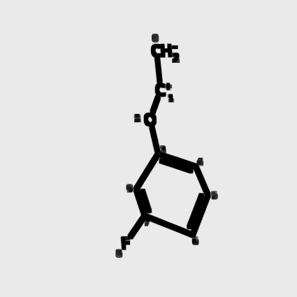 [CH2-][CH+]Oc1cccc(F)c1